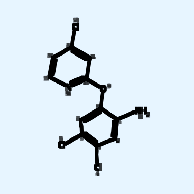 Nc1cc(Cl)c(Cl)cc1Oc1cc(Cl)ccn1